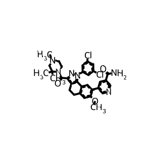 COc1cc2c(cc1-c1cncc(C(N)=O)c1)-c1c(c(C(=O)N3CCN(C)CC3(C)C)nn1-c1cc(Cl)cc(Cl)c1)CC2